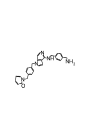 NCc1ccc(CNc2nccc3c2ccn3Cc2ccc(Cn3ccccc3=O)cc2)cc1